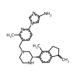 C=C1CCc2c1ccc([C@@H]1CN(Cc3ccc(-n4cnc(N)c4)nc3C)CCN1)c2C